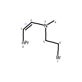 CCC/C=C\N(C)CCBr